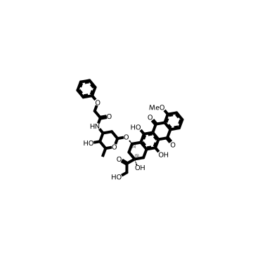 COc1cccc2c1C(=O)c1c(O)c3c(c(O)c1C2=O)C[C@@](O)(C(=O)CO)C[C@@H]3OC1CC(NC(=O)COc2ccccc2)C(O)C(C)O1